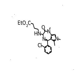 CCOC(=O)CCCNC1N=C(c2ccccc2Cl)c2c(cn(C)c2C)N(C)C1=O